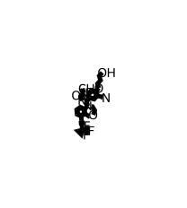 Cn1c(=O)nc(N2CCOCc3c(C#CC4(C(F)(F)F)CC4)cccc32)c2cc(C#N)c(OCCCO)cc21